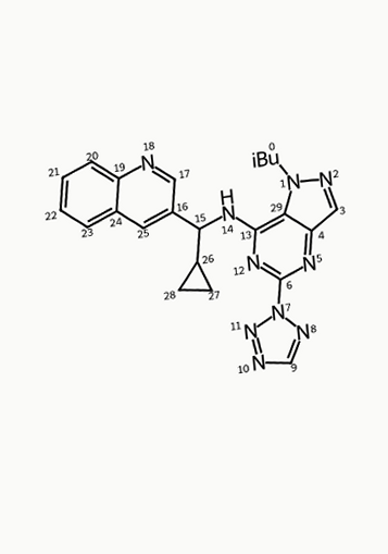 CCC(C)n1ncc2nc(-n3ncnn3)nc(NC(c3cnc4ccccc4c3)C3CC3)c21